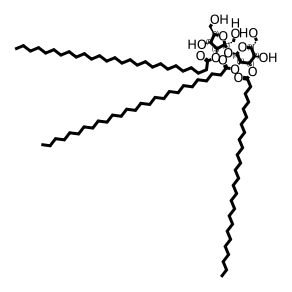 CCCCCCCCCCCCCCCCCCCCCCCCCCC(=O)O[C@H]1[C@@H](O[C@]2(CO)O[C@H](CO)[C@@H](O)[C@@H]2OC(=O)CCCCCCCCCCCCCCCCCCCCCCCCCC)O[C@H](CO)[C@@H](O)[C@@H]1OC(=O)CCCCCCCCCCCCCCCCCCCCCCCCCC